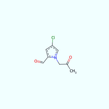 CC(=O)Cn1cc(Cl)cc1C=O